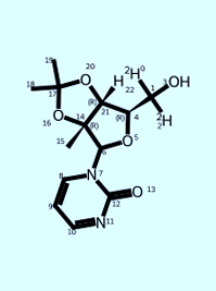 [2H]C([2H])(O)[C@H]1OC(n2cccnc2=O)[C@]2(C)OC(C)(C)O[C@H]12